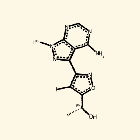 CC(C)n1nc(-c2noc([C@@H](C)O)c2I)c2c(N)ncnc21